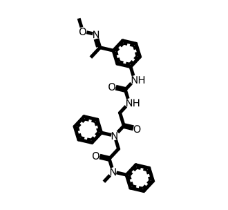 CO/N=C(\C)c1cccc(NC(=O)NCC(=O)N(CC(=O)N(C)c2ccccc2)c2ccccc2)c1